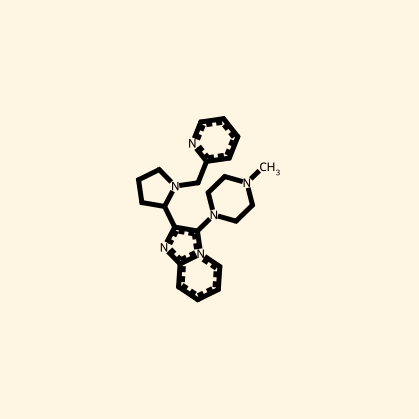 CN1CCN(c2c(C3CCCN3Cc3ccccn3)nc3ccccn23)CC1